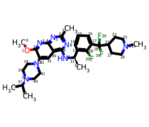 COc1nc2nc(C)nc(N[C@H](C)c3cccc(C(F)(F)C4CCN(C)CC4)c3F)c2cc1N1CCN(C(C)C)CC1